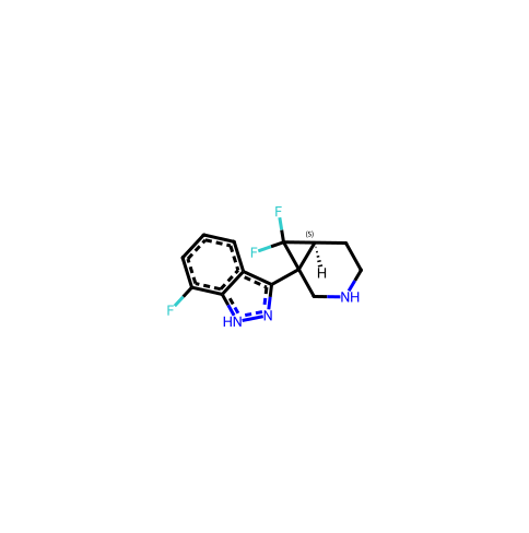 Fc1cccc2c(C34CNCC[C@@H]3C4(F)F)n[nH]c12